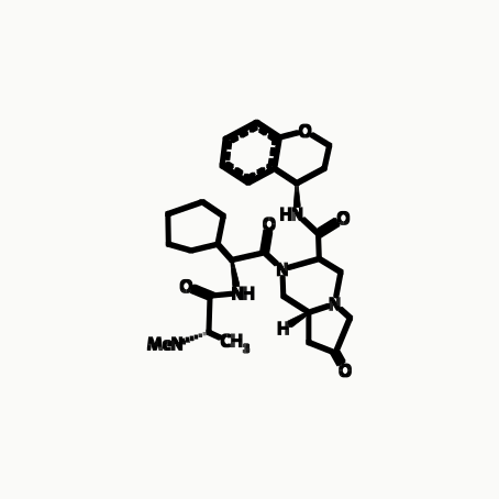 CN[C@@H](C)C(=O)N[C@H](C(=O)N1C[C@H]2CC(=O)CN2CC1C(=O)N[C@@H]1CCOc2ccccc21)C1CCCCC1